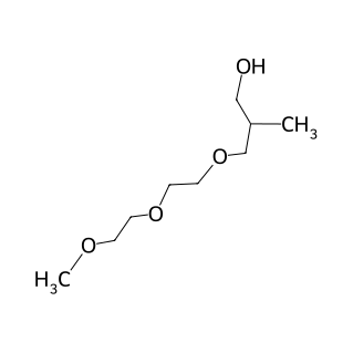 COCCOCCOCC(C)CO